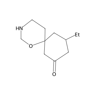 CCC1CC(=O)CC2(CCNCO2)C1